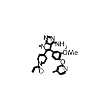 C=CC(=O)N1CC=C(c2c(-c3ccc(Oc4cc(C)ccn4)c(OC)c3)c3c(N)ncnc3n2C)CC1